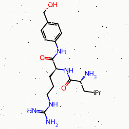 CC(C)C[C@H](N)C(=O)N[C@@H](CCCNC(=N)N)C(=O)Nc1ccc(CO)cc1